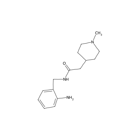 CN1CCC(CC(=O)NCc2ccccc2N)CC1